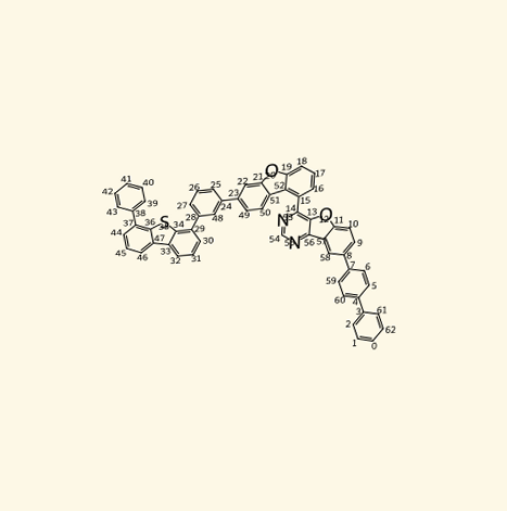 c1ccc(-c2ccc(-c3ccc4oc5c(-c6cccc7oc8cc(-c9cccc(-c%10cccc%11c%10sc%10c(-c%12ccccc%12)cccc%10%11)c9)ccc8c67)ncnc5c4c3)cc2)cc1